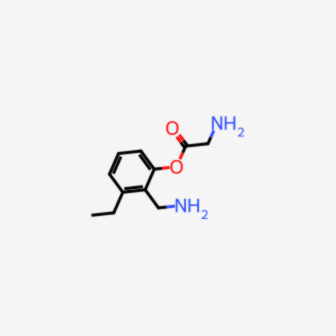 CCc1cccc(OC(=O)CN)c1CN